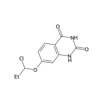 CCC(Cl)Oc1ccc2c(=O)[nH]c(=O)[nH]c2c1